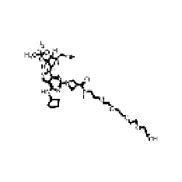 C#CCOCCOCCOCCOCCNC(=O)C1CN(c2nc(NC3CCCC3)c3cnn([C@@H]4O[C@H](CO)[C@H]5OC(C)(C)O[C@H]54)c3n2)C1